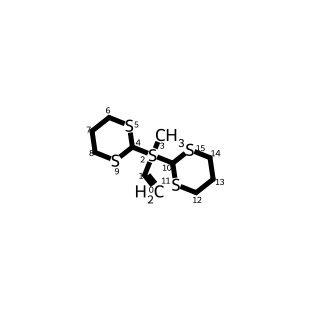 C=CS(C)(C1SCCCS1)C1SCCCS1